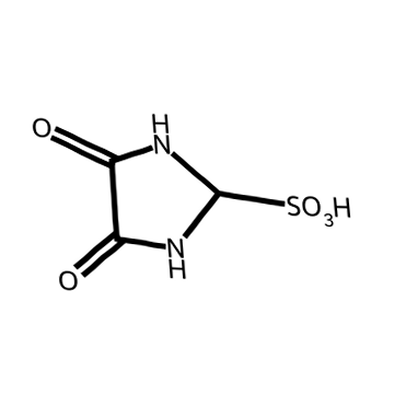 O=C1NC(S(=O)(=O)O)NC1=O